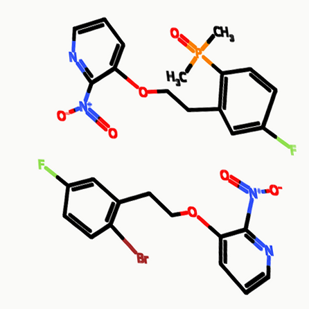 CP(C)(=O)c1ccc(F)cc1CCOc1cccnc1[N+](=O)[O-].O=[N+]([O-])c1ncccc1OCCc1cc(F)ccc1Br